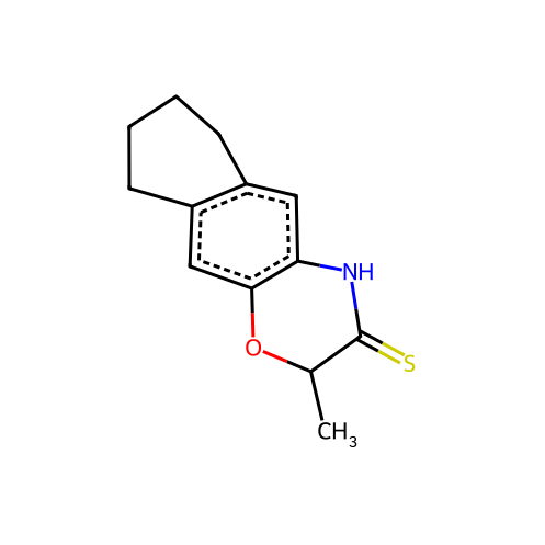 CC1Oc2cc3c(cc2NC1=S)CCCC3